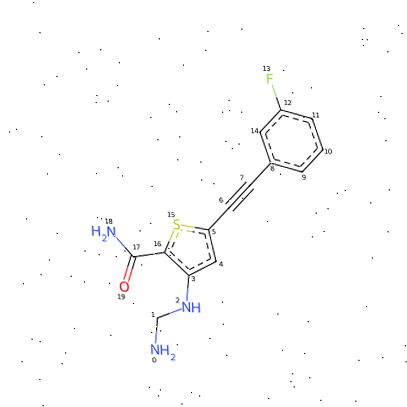 NCNc1cc(C#Cc2cccc(F)c2)sc1C(N)=O